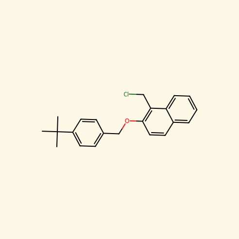 CC(C)(C)c1ccc(COc2ccc3ccccc3c2CCl)cc1